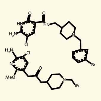 COc1nc(N)c(Cl)cc1CC(=O)CC1CCN(CC(C)C)CC1.Nc1[nH]c(=O)c(C(=O)NCC2CCN(Cc3cccc(Br)c3)CC2)cc1Cl